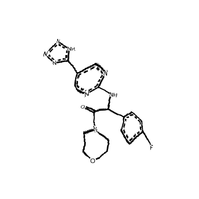 O=C(C(Nc1ncc(-c2nnn[nH]2)cn1)c1ccc(F)cc1)N1CCOCC1